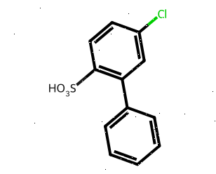 O=S(=O)(O)c1ccc(Cl)cc1-c1ccccc1